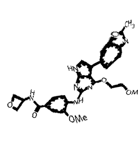 COCCOc1nc(Nc2ccc(C(=O)NC3COC3)cc2OC)nc2[nH]cc(-c3ccc4nc(C)oc4c3)c12